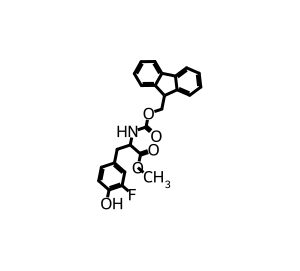 COC(=O)C(Cc1ccc(O)c(F)c1)NC(=O)OCC1c2ccccc2-c2ccccc21